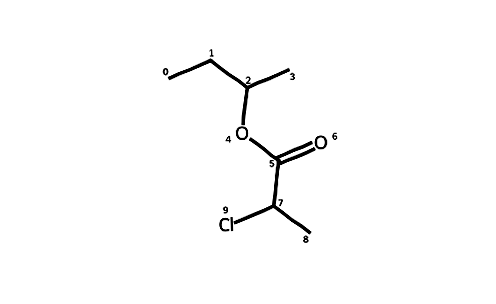 CCC(C)OC(=O)C(C)Cl